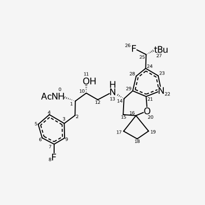 CC(=O)N[C@@H](Cc1cccc(F)c1)[C@H](O)CN[C@H]1CC2(CCC2)Oc2ncc([C@H](F)C(C)(C)C)cc21